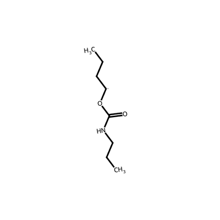 CCC[CH]OC(=O)NCCC